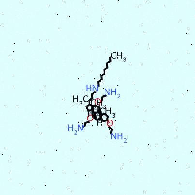 CCCCCCCCCCCNCCCC(C)C1CC[C@H]2[C@@H]3[C@H](OCCCN)C[C@@H]4C[C@H](OCCCN)CC[C@]4(C)[C@H]3C[C@H](OCCCN)[C@]12C